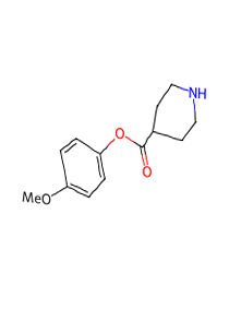 COc1ccc(OC(=O)C2CCNCC2)cc1